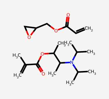 C=C(C)C(=O)OC(C)C(C)N(C(C)C)C(C)C.C=CC(=O)OCC1CO1